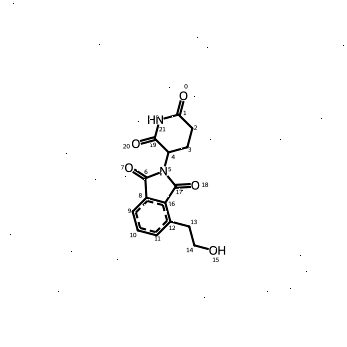 O=C1CCC(N2C(=O)c3cccc(CCO)c3C2=O)C(=O)N1